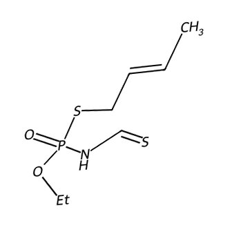 CC=CCSP(=O)(NC=S)OCC